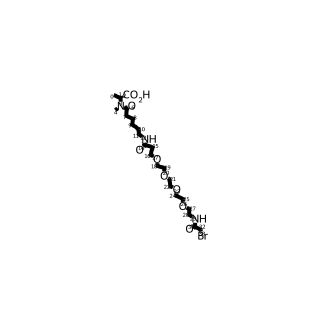 C[C@@H](C(=O)O)N(C)C(=O)CCCCCNC(=O)CCOCCOCCOCCOCCNC(=O)CBr